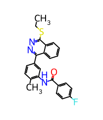 CCSc1nnc(-c2ccc(C)c(NC(=O)c3ccc(F)cc3)c2)c2ccccc12